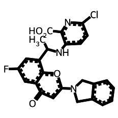 CC(Nc1ccc(Cl)nc1C(=O)O)c1cc(F)cc2c(=O)cc(N3Cc4ccccc4C3)oc12